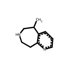 CC1CNCCc2ncccc21